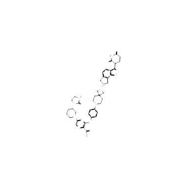 CN1CCN([C@@H]2CCCN(c3cnc(C(N)=O)c(Nc4ccc(N5CCC6(CC5)CN(C5Cc7ccc8c(C9CCC(=O)NC9=O)noc8c7C5)C6)cc4)n3)C2)C1=O